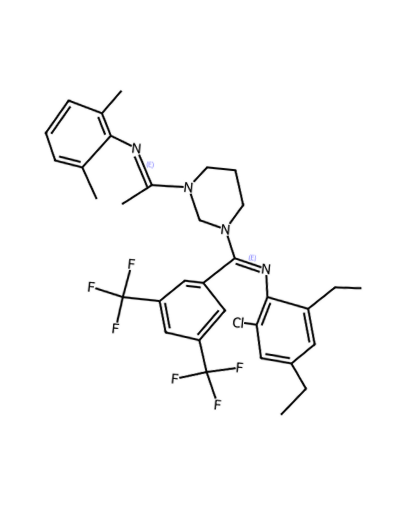 CCc1cc(Cl)c(/N=C(\c2cc(C(F)(F)F)cc(C(F)(F)F)c2)N2CCCN(/C(C)=N/c3c(C)cccc3C)C2)c(CC)c1